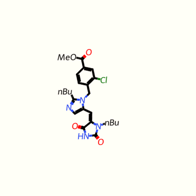 CCCCc1ncc(/C=C2\C(=O)NC(=O)N2CCCC)n1Cc1ccc(C(=O)OC)cc1Cl